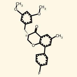 COc1cc(C[C@H]2COc3c(cc(C)cc3-c3ccc(F)cc3)C2=O)cc(OC)c1